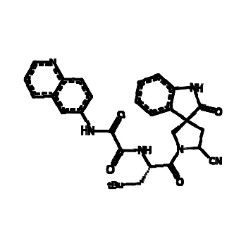 CC(C)(C)C[C@H](NC(=O)C(=O)Nc1ccc2ncccc2c1)C(=O)N1C[C@]2(CC1C#N)C(=O)Nc1ccccc12